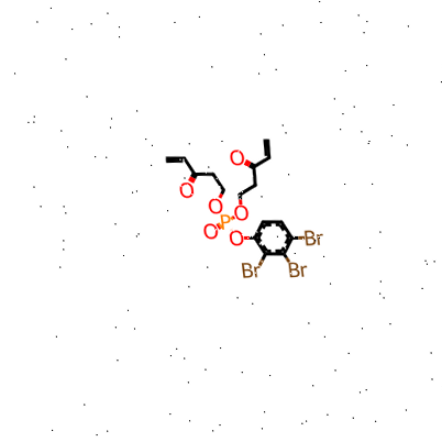 C=CC(=O)CCOP(=O)(OCCC(=O)C=C)Oc1ccc(Br)c(Br)c1Br